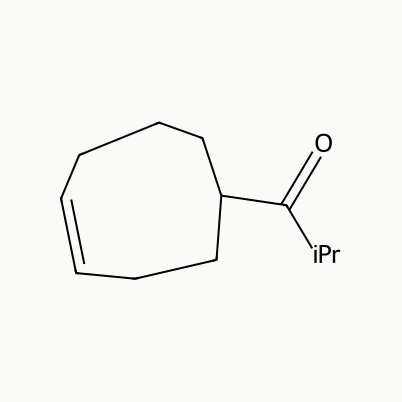 CC(C)C(=O)C1CC/C=C\CCC1